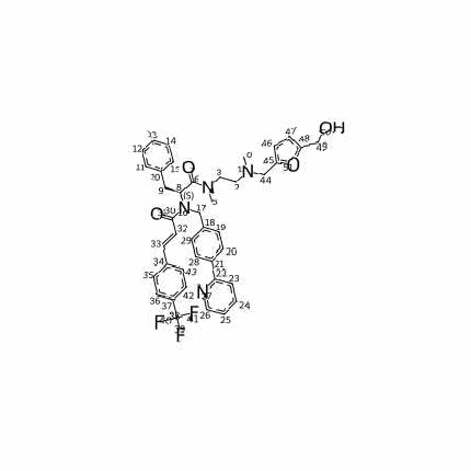 CN(CCN(C)C(=O)[C@H](Cc1ccccc1)N(Cc1ccc(-c2ccccn2)cc1)C(=O)C=Cc1ccc(C(F)(F)F)cc1)Cc1ccc(CO)o1